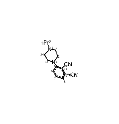 CCCN1CCN(c2cccc(C#N)c2C#N)CC1